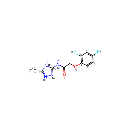 O=C(COc1ccc(F)cc1F)Nc1nnc(C(F)(F)F)[nH]1